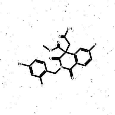 COC(=O)C1(CC(N)=O)C(=O)N(Cc2ccc(Br)cc2F)C(=O)c2ccc(F)cc21